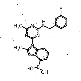 Cc1nc(NCc2cccc(F)c2)nc(-n2c(C)cc3c(B(O)O)cccc32)n1